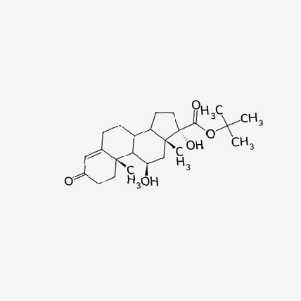 CC(C)(C)OC(=O)[C@]1(O)CCC2C3CCC4=CC(=O)CC[C@@]4(C)C3[C@H](O)C[C@]21C